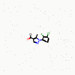 CCC(=O)c1cnn(-c2cccc(Cl)c2F)c1C